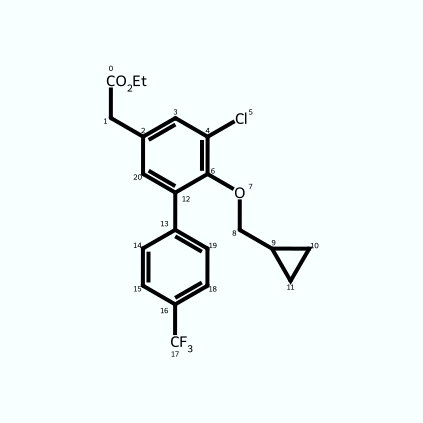 CCOC(=O)Cc1cc(Cl)c(OCC2CC2)c(-c2ccc(C(F)(F)F)cc2)c1